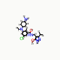 CCN(c1cc(Cl)cc(C(=O)NCc2c(C(C)C)nn(C)c2OC)c1C)C1CCC(N(C)C)CC1